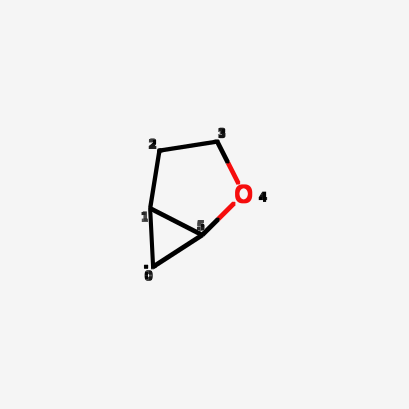 [CH]1C2CCOC12